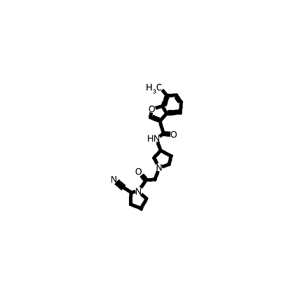 Cc1cccc2c(C(=O)NC3CCN(CC(=O)N4CCCC4C#N)C3)coc12